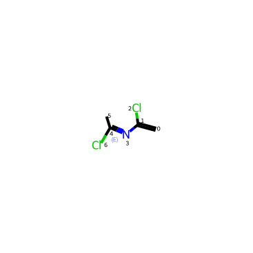 C=C(Cl)/N=C(\C)Cl